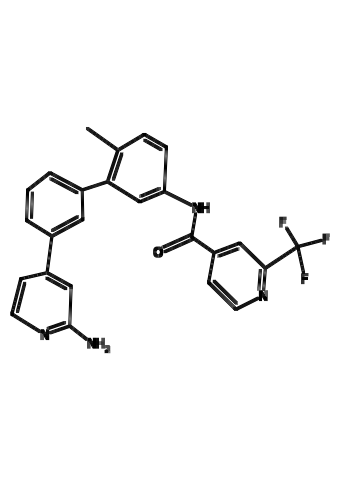 Cc1ccc(NC(=O)c2ccnc(C(F)(F)F)c2)cc1-c1cccc(-c2ccnc(N)c2)c1